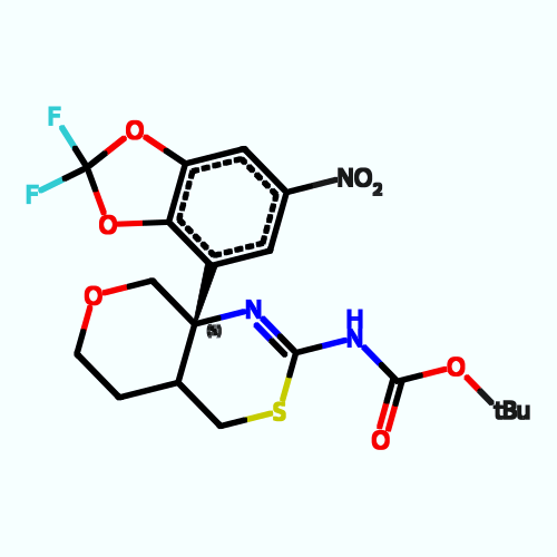 CC(C)(C)OC(=O)NC1=N[C@@]2(c3cc([N+](=O)[O-])cc4c3OC(F)(F)O4)COCCC2CS1